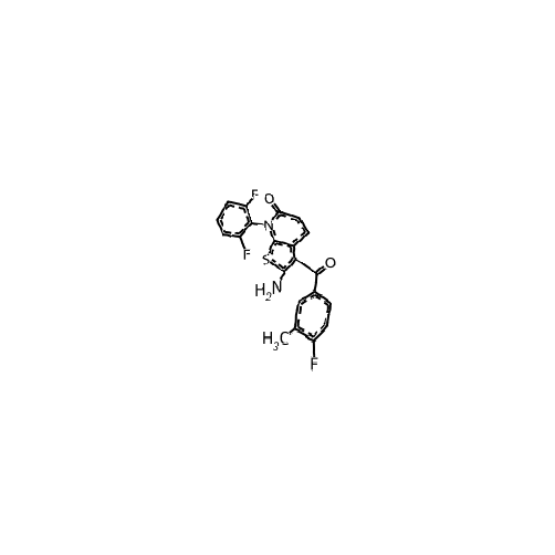 Cc1cc(C(=O)c2c(N)sc3c2ccc(=O)n3-c2c(F)cccc2F)ccc1F